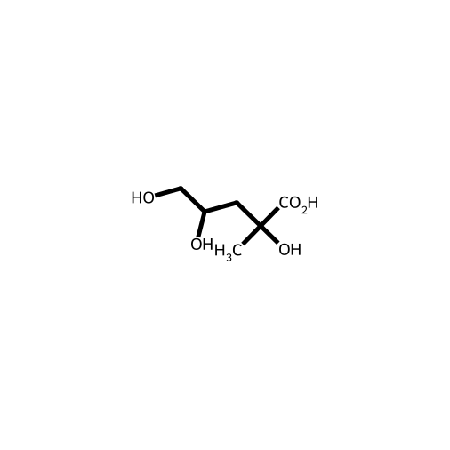 CC(O)(CC(O)CO)C(=O)O